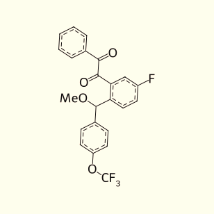 COC(c1ccc(OC(F)(F)F)cc1)c1ccc(F)cc1C(=O)C(=O)c1ccccc1